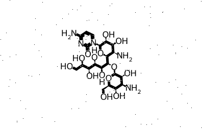 Nc1ccn([C@@H]2O[C@H]([C@H](O[C@@H]3O[C@H](CO)[C@@H](O)[C@H](N)[C@H]3O)[C@@H](O)[C@@H](O)[C@H](O)[C@H](O)CO)[C@@H](N)[C@H](O)[C@H]2O)c(=O)n1